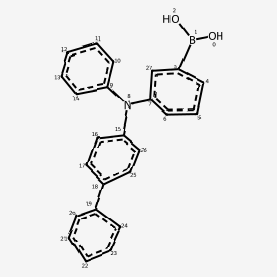 OB(O)c1cccc(N(c2ccccc2)c2ccc(-c3ccccc3)cc2)c1